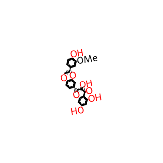 COc1cc([C@@H]2COc3ccc([C@H]4Oc5cc(O)cc(O)c5C(=O)[C@@H]4O)cc3O2)ccc1O